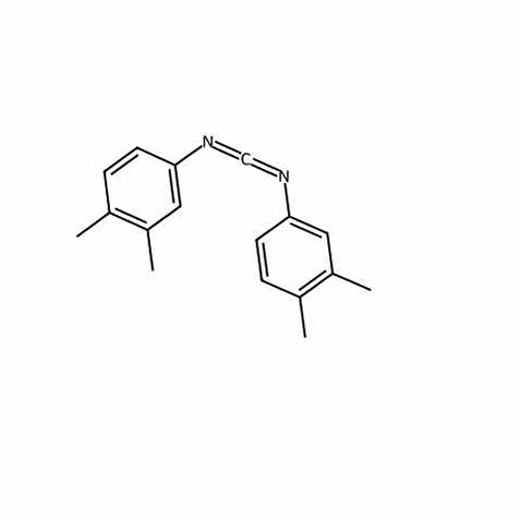 Cc1ccc(N=C=Nc2ccc(C)c(C)c2)cc1C